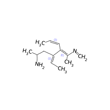 C=N/C(C)=C(\C=C/C)C(=C\C)/CC(C)N